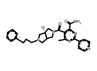 Cc1nc(-c2ccncc2)nc(C(N)=O)c1C(=O)N1CC2CN(CC[CH]c3ccccc3)C[C@H]2C1